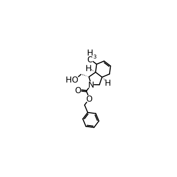 CC1C=CC[C@H]2CN(C(=O)OCc3ccccc3)[C@H](CO)[C@@H]12